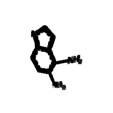 Nc1ccn2nccc2c1N